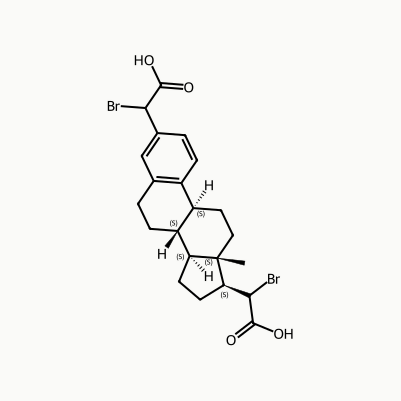 C[C@]12CC[C@@H]3c4ccc(C(Br)C(=O)O)cc4CC[C@H]3[C@@H]1CC[C@@H]2C(Br)C(=O)O